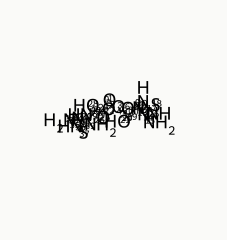 COC(OCC1O[C@@H](N2CNc3c2nc(N)[nH]c3=S)CC1O)OCC(OC)[C@H](O)CNc1nc(N)[nH]c(=S)c1N